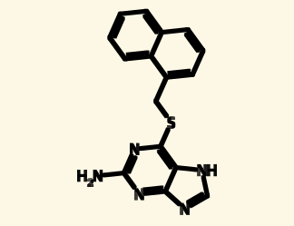 Nc1nc(SCc2cccc3ccccc23)c2[nH]cnc2n1